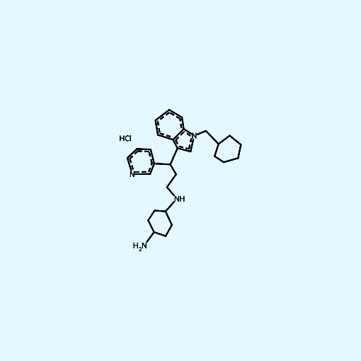 Cl.NC1CCC(NCCC(c2cccnc2)c2cn(CC3CCCCC3)c3ccccc23)CC1